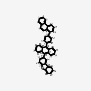 c1ccc2c(c1)ccc1c(-c3ccc(-c4c5ccccc5c(-c5ccc6sc7ccccc7c6c5)c5ccccc45)cc3)cccc12